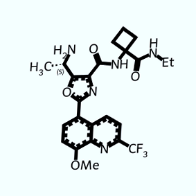 CCNC(=O)C1(NC(=O)c2nc(-c3ccc(OC)c4nc(C(F)(F)F)ccc34)oc2[C@H](C)N)CCC1